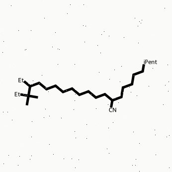 CCCC(C)CCCCCC(C#N)CCCCCCCCCC(CC)C(C)(C)CC